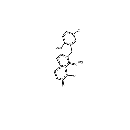 COc1ccc(Cl)cc1Cn1ccn2ccc(=O)c(O)c2c1=O.Cl